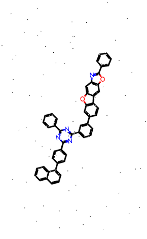 c1ccc(-c2nc(-c3ccc(-c4cccc5ccccc45)cc3)nc(-c3cccc(-c4ccc5c(c4)oc4cc6nc(-c7ccccc7)oc6cc45)c3)n2)cc1